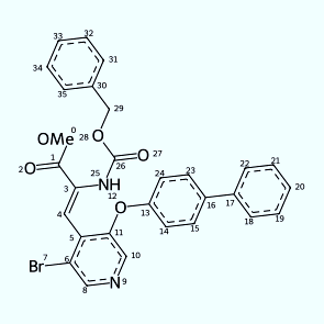 COC(=O)C(=Cc1c(Br)cncc1Oc1ccc(-c2ccccc2)cc1)NC(=O)OCc1ccccc1